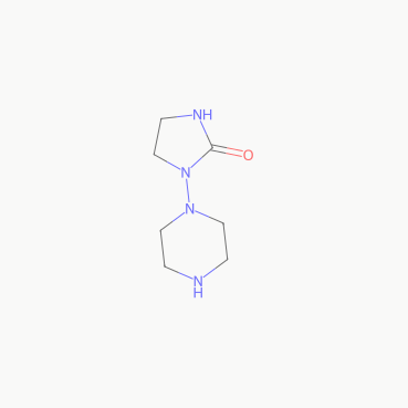 O=C1NCCN1N1CCNCC1